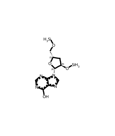 Oc1ncnc2c1ncn2[C@@H]1O[C@H](CO[SiH3])C[C@H]1O[SiH3]